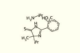 CC(C)C1(C)N=C(c2ccccc2C(=O)O)NC1=S.CC(C)N